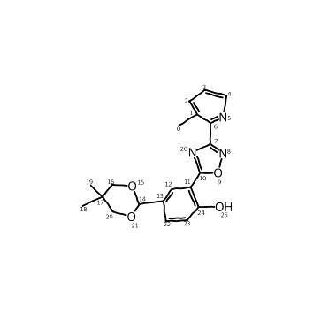 Cc1cccnc1-c1noc(-c2cc(C3OCC(C)(C)CO3)ccc2O)n1